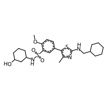 COc1ccc(-c2sc(NCC3CCCCC3)nc2C)cc1S(=O)(=O)NC1CCCC(O)C1